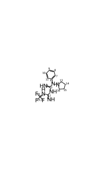 N=C(NC(=N)N(c1ccccc1)N1CCCC1)NC(F)(F)F